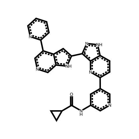 O=C(Nc1cncc(-c2ccc3[nH]nc(-c4cc5c(-c6ccccn6)cncc5[nH]4)c3n2)c1)C1CC1